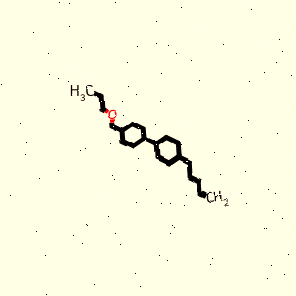 C=CCCCC1CCC(C2CCC(COCCC)CC2)CC1